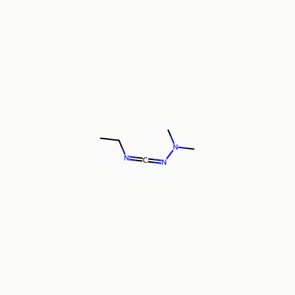 CCN=C=NN(C)C